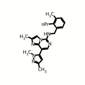 CCCc1c(C)cccc1CNc1ncc(-c2cc(C)nn2C)c2nc(C)cn12